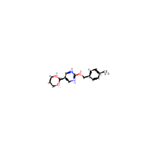 FC(F)(F)c1ccc(COc2ncc(C3OCCCO3)cn2)cc1